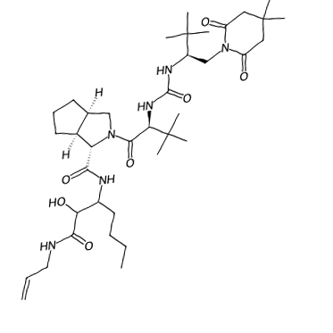 C=CCNC(=O)C(O)C(CCCC)NC(=O)[C@@H]1[C@H]2CCC[C@H]2CN1C(=O)[C@@H](NC(=O)N[C@H](CN1C(=O)CC(C)(C)CC1=O)C(C)(C)C)C(C)(C)C